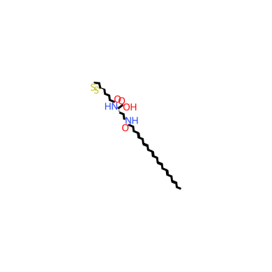 CCC=CCC=CCC=CCC=CCC=CCC=CCCC(=O)NCCC[C@H](NC(=O)CCCC[C@@H]1CCSS1)C(=O)O